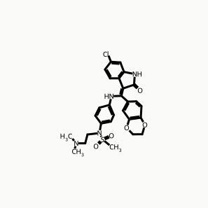 CN(C)CCN(c1ccc(NC(=C2C(=O)Nc3cc(Cl)ccc32)c2ccc3c(c2)OCCO3)cc1)S(C)(=O)=O